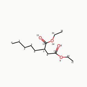 CCCCCC(CC(=O)OCC)C(=O)OCC